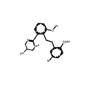 COc1ccc(Br)cc1CCc1c(OC(C)C)cccc1C1=NCC(O)CN1